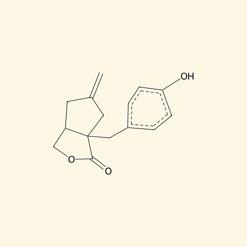 C=C1CC2COC(=O)C2(Cc2ccc(O)cc2)C1